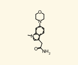 Cn1cc(CC(N)=O)c2ccc(N3CCOCC3)cc21